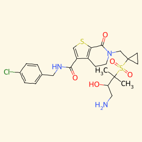 CC(C)(C(O)CN)S(=O)(=O)C1(CN2CCc3c(C(=O)NCc4ccc(Cl)cc4)csc3C2=O)CC1